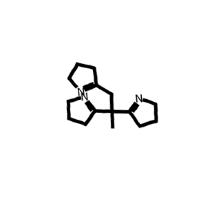 CC(CC1=NCCC1)(C1=NCCC1)C1=NCCC1